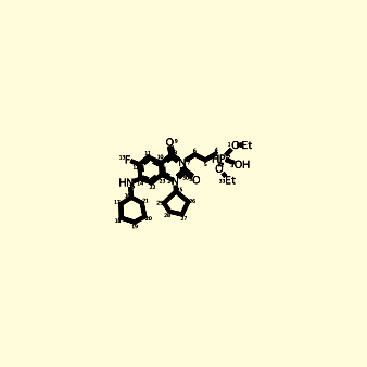 CCO[PH](O)(CCCn1c(=O)c2cc(F)c(NC3CCCCC3)cc2n(C2CCCC2)c1=O)OCC